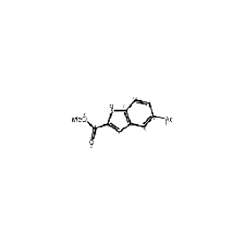 COC(=O)c1cc2cc(C(C)=O)ccc2s1